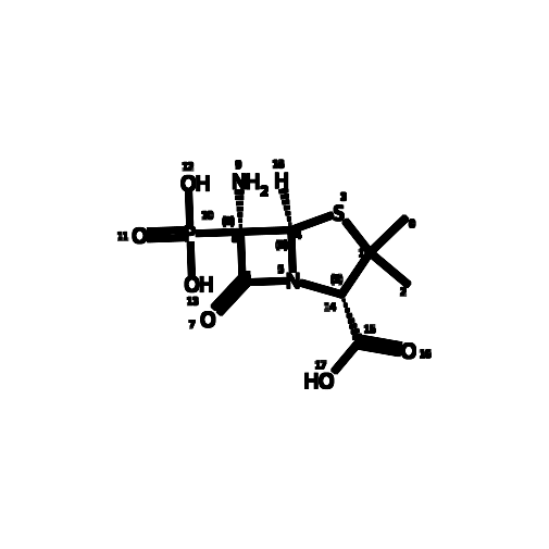 CC1(C)S[C@H]2N(C(=O)[C@@]2(N)P(=O)(O)O)[C@H]1C(=O)O